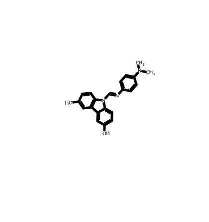 CN(C)c1ccc(N=Cn2c3ccc(O)cc3c3cc(O)ccc32)cc1